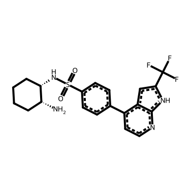 N[C@@H]1CCCC[C@@H]1NS(=O)(=O)c1ccc(-c2ccnc3[nH]c(C(F)(F)F)cc23)cc1